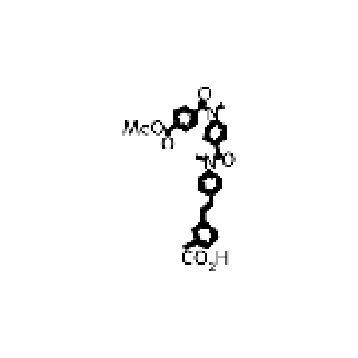 COC(=O)c1ccc(C(=O)N(C)c2ccc(C(=O)N(C)c3ccc(/C=C/c4cccc(CC(=O)O)c4)cc3)cc2)cc1